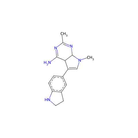 CC1=NC2C(C(c3ccc4c(c3)CCN4)=CN2C)C(N)=N1